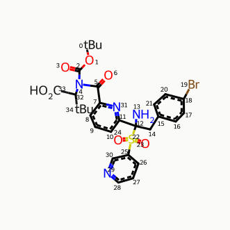 CC(C)(C)OC(=O)N(C(=O)c1cccc(C(N)(Cc2ccc(Br)cc2)S(=O)(=O)c2cccnc2)n1)C(C(=O)O)C(C)(C)C